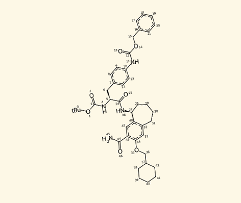 CC(C)(C)OC(=O)N[C@@H](Cc1ccc(NC(=O)OCc2ccccc2)cc1)C(=O)N[C@H]1CCCCc2cc(OCC3CCCCC3)c(C(N)=O)cc21